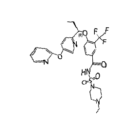 CC[C@@H](Oc1ccc(C(=O)NS(=O)(=O)N2CCN(CC)CC2)cc1C(F)(F)F)c1ccc(Oc2ccccn2)cn1